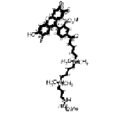 COPNCCC[N+](C)(C)CCCC[N+](C)(C)CCCCC(=O)c1ccc(-c2c3cc(F)c(=O)cc-3oc3cc(O)c(F)cc23)c(S(=O)(=O)O)c1